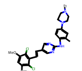 CCN1CCN(c2ccc(Nc3ncc(/C=C/c4c(Cl)c(OC)cc(OC)c4Cl)cn3)c(C)c2)CC1